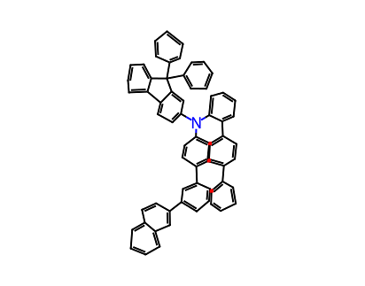 c1ccc(-c2ccc(-c3ccccc3N(c3ccc(-c4cccc(-c5ccc6ccccc6c5)c4)cc3)c3ccc4c(c3)C(c3ccccc3)(c3ccccc3)c3ccccc3-4)cc2)cc1